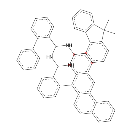 CC1(C)c2ccccc2-c2c(C3NC(c4ccccc4-c4ccccc4)NC(c4ccccc4-c4c5ccccc5cc5c4ccc4ccccc45)N3)cccc21